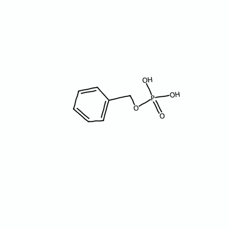 O=P(O)(O)OCc1ccccc1